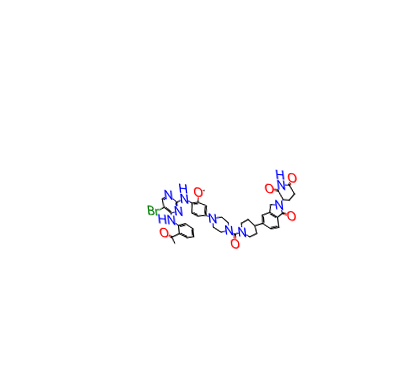 COc1cc(N2CCN(C(=O)N3CCC(c4ccc5c(c4)CN(C4CCC(=O)NC4=O)C5=O)CC3)CC2)ccc1Nc1ncc(Br)c(Nc2ccccc2C(C)=O)n1